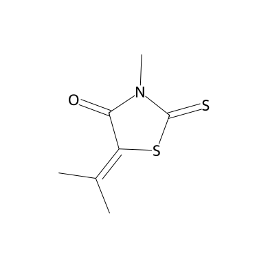 CC(C)=C1SC(=S)N(C)C1=O